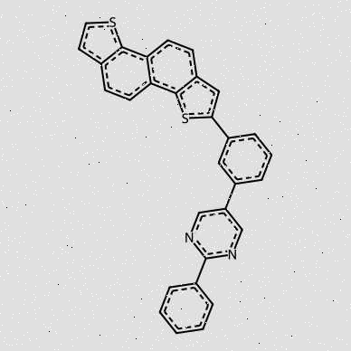 c1ccc(-c2ncc(-c3cccc(-c4cc5ccc6c(ccc7ccsc76)c5s4)c3)cn2)cc1